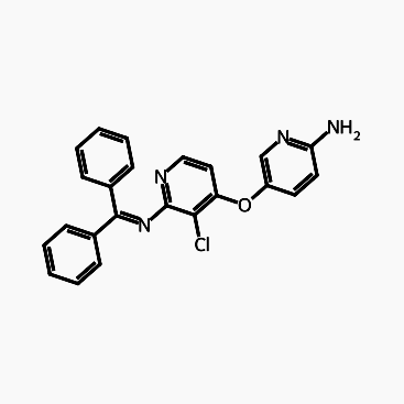 Nc1ccc(Oc2ccnc(N=C(c3ccccc3)c3ccccc3)c2Cl)cn1